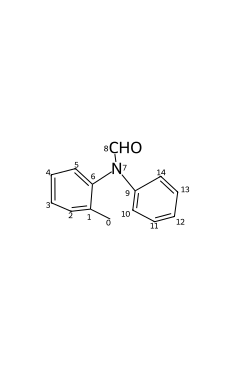 Cc1ccccc1N(C=O)c1ccccc1